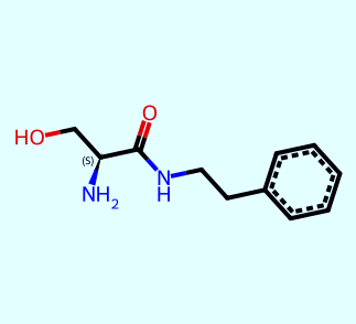 N[C@@H](CO)C(=O)NCCc1ccccc1